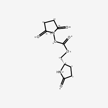 O=C1CC[C@@H](COC(=O)ON2C(=O)CCC2=O)N1